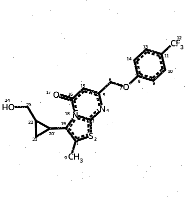 Cc1sc2nc(COc3ccc(C(F)(F)F)cc3)cc(=O)n2c1C1CC1CO